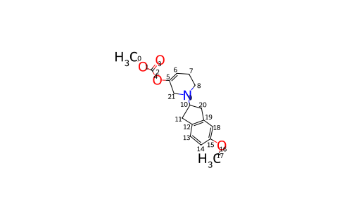 COC(=O)OC1=CCCN(C2Cc3ccc(OC)cc3C2)C1